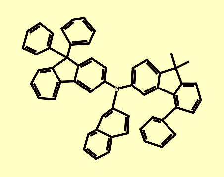 CC1(C)c2ccc(N(c3ccc4c(c3)-c3ccccc3C4(c3ccccc3)c3ccccc3)c3ccc4ccccc4c3)cc2-c2c(-c3ccccc3)cccc21